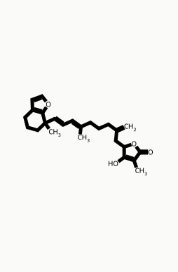 C=C(CCC/C(C)=C/C=C/C1(C)CCCc2ccoc21)CC1OC(=O)C(C)=C1O